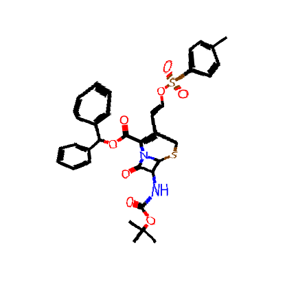 Cc1ccc(S(=O)(=O)OC=CC2=C(C(=O)OC(c3ccccc3)c3ccccc3)N3C(=O)C(NC(=O)OC(C)(C)C)C3SC2)cc1